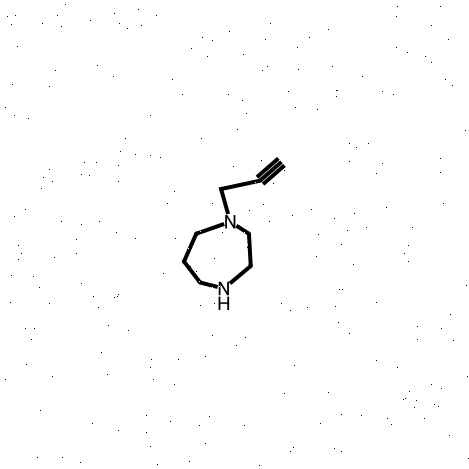 C#CCN1CCCNCC1